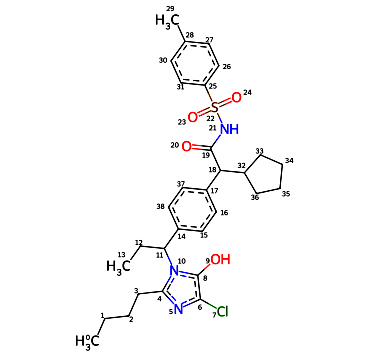 CCCCc1nc(Cl)c(O)n1C(CC)c1ccc(C(C(=O)NS(=O)(=O)c2ccc(C)cc2)C2CCCC2)cc1